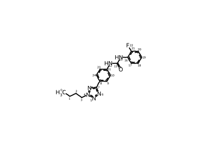 CCCCn1nnc(-c2ccc(NC(=O)Nc3ccccc3F)cc2)n1